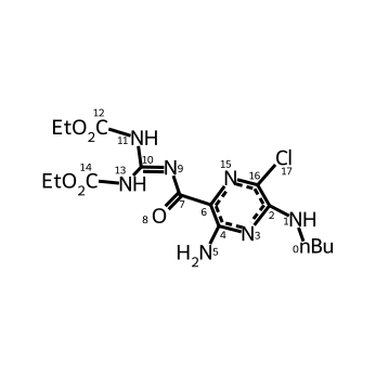 CCCCNc1nc(N)c(C(=O)N=C(NC(=O)OCC)NC(=O)OCC)nc1Cl